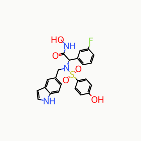 O=C(NO)[C@@H](c1cccc(F)c1)N(Cc1ccc2[nH]ccc2c1)S(=O)(=O)c1ccc(O)cc1